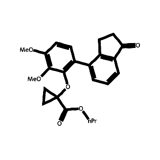 CCCOC(=O)C1(Oc2c(-c3cccc4c3CCC4=O)ccc(OC)c2OC)CC1